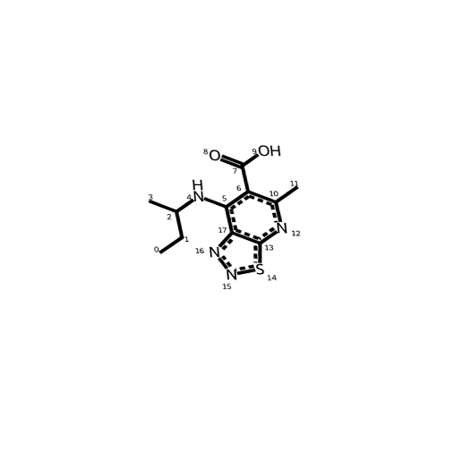 CCC(C)Nc1c(C(=O)O)c(C)nc2snnc12